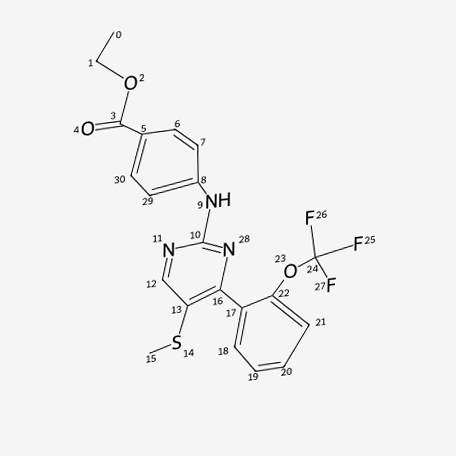 CCOC(=O)c1ccc(Nc2ncc(SC)c(-c3ccccc3OC(F)(F)F)n2)cc1